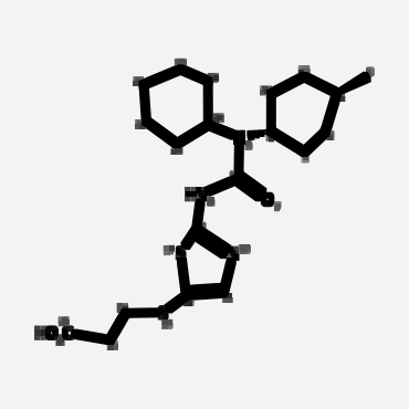 C[C@H]1CC[C@H](N(C(=O)Nc2ncc(SCCC(=O)O)s2)C2CCCCC2)CC1